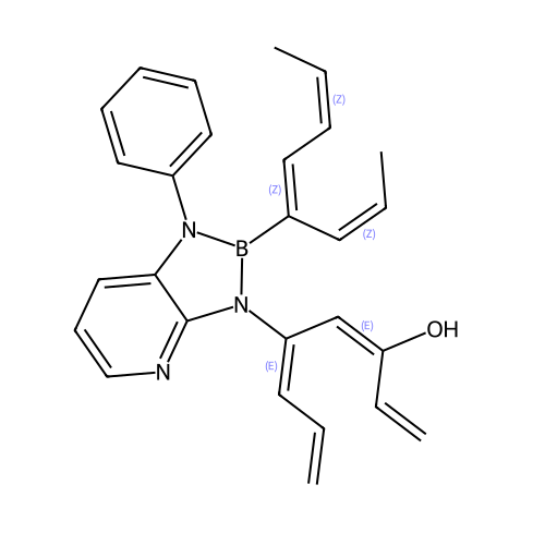 C=C/C=C(\C=C(\O)C=C)N1B(C(/C=C\C)=C/C=C\C)N(c2ccccc2)c2cccnc21